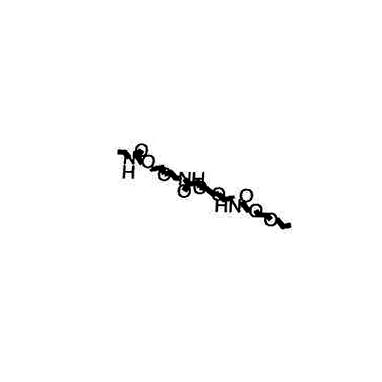 CCCOCCOCC(=O)NCCOCCOCC(=O)NCCOCCOCC(=O)NCC